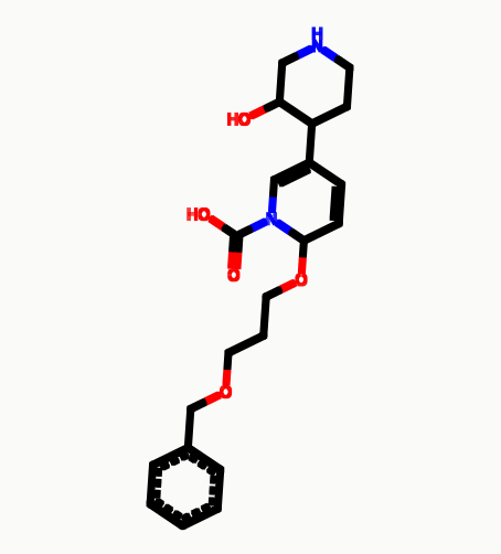 O=C(O)N1C=C(C2CCNCC2O)C=CC1OCCCOCc1ccccc1